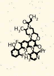 C=CC(=O)N1CC2COc3c(c4cc(F)c(-c5c(O)cccc5F)nc4n(-c4c(C)ccnc4C(C)C)c3=O)N2CC1C